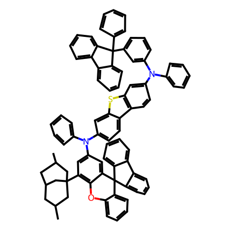 CC1CC2CC(C)CC(c3cc(N(c4ccccc4)c4ccc5c(c4)sc4cc(N(c6ccccc6)c6cccc(C7(c8ccccc8)c8ccccc8-c8ccccc87)c6)ccc45)cc4c3Oc3ccccc3C43c4ccccc4-c4ccccc43)(C1)C2